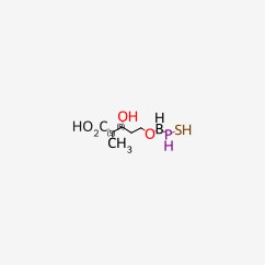 C[C@H](C(=O)O)[C@H](O)CCOBPS